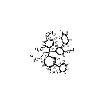 CCCC(c1ccc(O)c(-c2ccccc2)c1)(c1ccc(O)c(-c2ccccc2)c1)c1ccc(C)cc1C